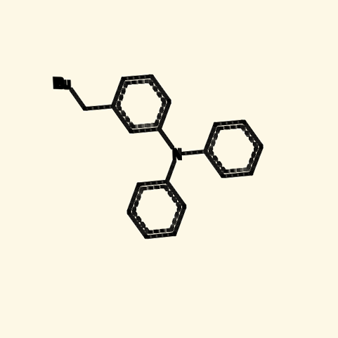 CCC(C)Cc1cccc(N(c2ccccc2)c2ccccc2)c1